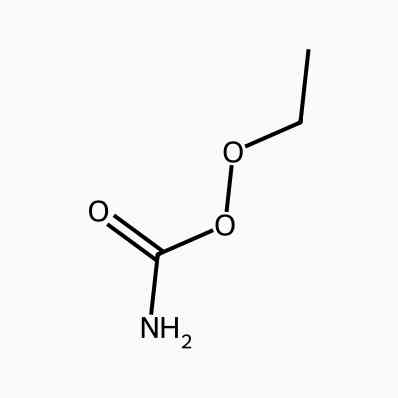 CCOOC(N)=O